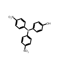 O=[N+]([O-])c1ccc(N(c2ccc(O)cc2)c2ccc([N+](=O)[O-])cc2)cc1